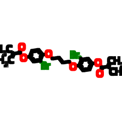 C=C(C)C(=O)Oc1ccc(OCCCCOc2ccc(OC(=O)C(=C)C)cc2Br)c(Br)c1